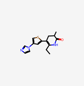 CCC1=C(c2cc(-n3ccnc3)cs2)CC(C)C(=O)N1